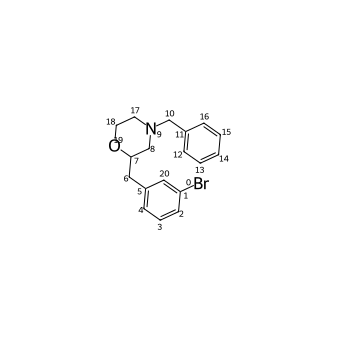 Brc1cccc(CC2CN(Cc3ccccc3)CCO2)c1